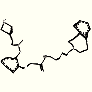 CN(CC1CNC1)Sc1ccccc1OCC(=O)NCCCN1CCc2ccccc2C1